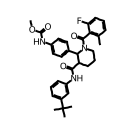 COC(=O)Nc1ccc(C2C(C(=O)Nc3cccc(C(C)(C)C)c3)CCCN2C(=O)c2c(C)cccc2F)cc1